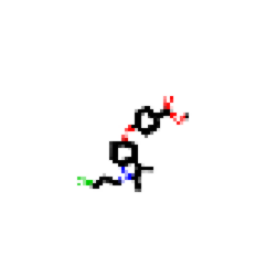 COC(=O)c1ccc(Oc2ccc3c(c2)c(C)c(C)n3CCCCl)cc1